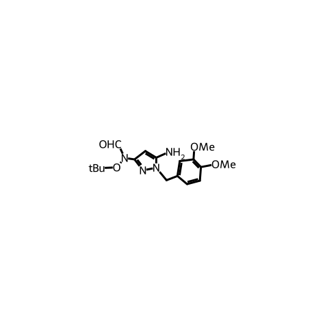 COc1ccc(Cn2nc(N(C=O)OC(C)(C)C)cc2N)cc1OC